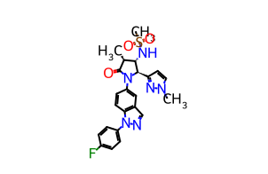 C[C@@H]1C(=O)N(c2ccc3c(cnn3-c3ccc(F)cc3)c2)[C@H](c2ccn(C)n2)[C@H]1NS(C)(=O)=O